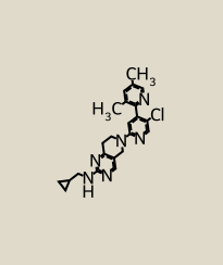 Cc1cnc(-c2cc(N3CCc4nc(NCC5CC5)ncc4C3)ncc2Cl)c(C)c1